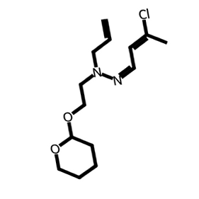 C=CCN(CCOC1CCCCO1)/N=C\C=C(/C)Cl